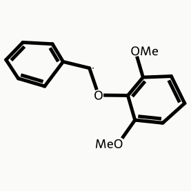 COc1cccc(OC)c1O[CH]c1ccccc1